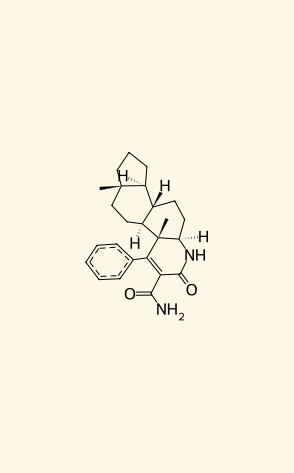 C[C@@]12CCC[C@H]1[C@@H]1CC[C@H]3NC(=O)C(C(N)=O)=C(c4ccccc4)[C@]3(C)[C@H]1CC2